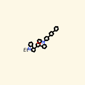 CCn1c2ccccc2c2c(-c3cccc(-c4ccccc4N(c4ccccc4)c4ccc(-c5ccc(-c6ccccc6)cc5)cc4)c3)cccc21